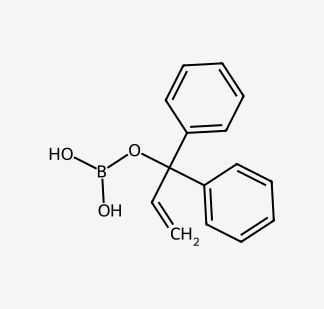 C=CC(OB(O)O)(c1ccccc1)c1ccccc1